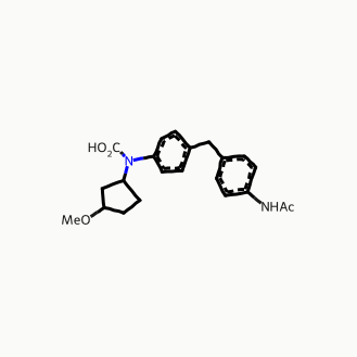 COC1CCC(N(C(=O)O)c2ccc(Cc3ccc(NC(C)=O)cc3)cc2)C1